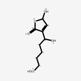 CCCCCCCCCCCCC(O)C1=CC(O)OC1=O